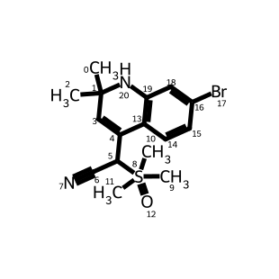 CC1(C)C=C(C(C#N)S(C)(C)(C)=O)c2ccc(Br)cc2N1